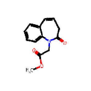 COC(=O)CN1C(=O)CC=[C]c2ccccc21